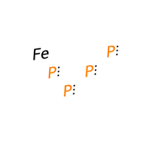 [Fe].[P].[P].[P].[P]